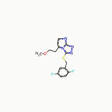 COCCc1ccnc2nnc(SCc3cc(F)ccc3F)n12